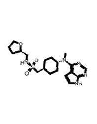 CN(c1ncnc2[nH]ccc12)[C@H]1CC[C@H](CS(=O)(=O)NC[C@H]2CCCO2)CC1